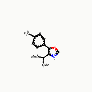 COC(OC)c1ncoc1-c1ccc(C(F)(F)F)cc1